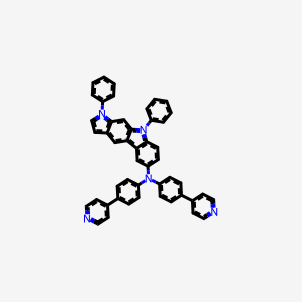 c1ccc(-n2ccc3cc4c5cc(N(c6ccc(-c7ccncc7)cc6)c6ccc(-c7ccncc7)cc6)ccc5n(-c5ccccc5)c4cc32)cc1